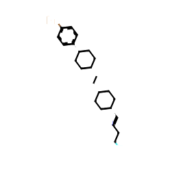 FCC/C=C/[C@H]1CC[C@H](CC[C@H]2CC[C@H](c3ccc(Br)cc3)CC2)CC1